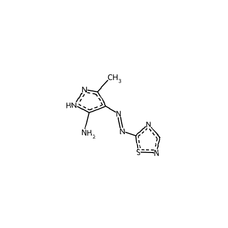 Cc1n[nH]c(N)c1N=Nc1ncns1